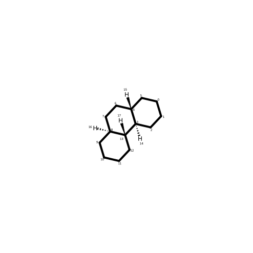 C1CC[C@@H]2[C@@H](C1)CC[C@@H]1CCCC[C@H]12